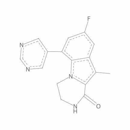 Cc1c2n(c3c(-c4cncnc4)cc(F)cc13)CCNC2=O